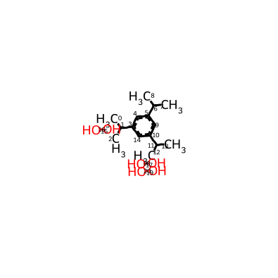 CC(C)c1cc(C(C)C)cc(C(C)C)c1.OO.OO.OO